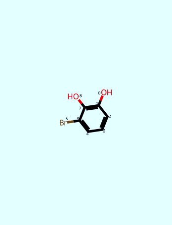 Oc1c[c]cc(Br)c1O